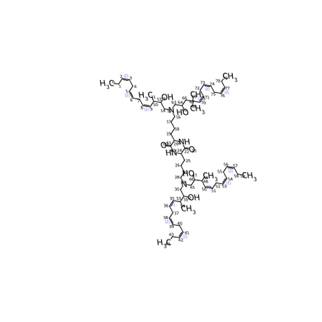 CC/C=C\C/C=C\C/C=C\C(C)C(O)CN(CCCCC1NC(=O)C(CCCCN(CC(O)C(C)/C=C\C/C=C\C/C=C\CC)CC(O)C(C)/C=C\C/C=C\C/C=C\CC)NC1=O)CC(O)CC(C)(C)/C=C\C/C=C\C/C=C\CC